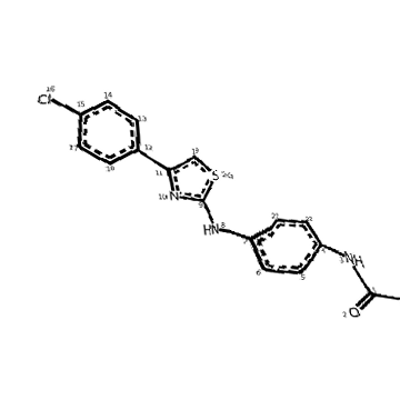 CCC(=O)Nc1ccc(Nc2nc(-c3ccc(Cl)cc3)cs2)cc1